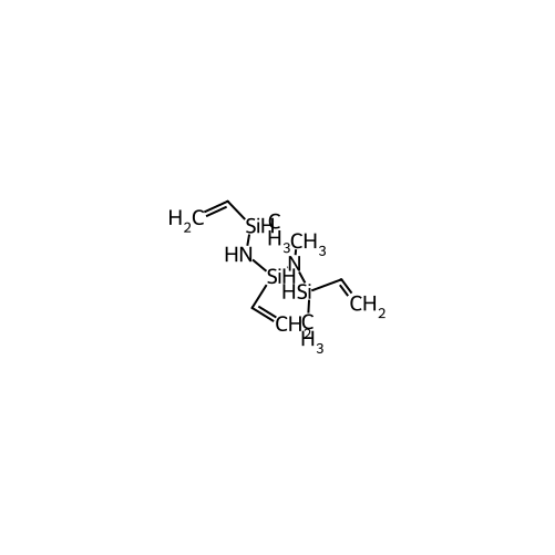 C=C[SiH](C)N[SiH](C=C)N(C)[SiH](C)C=C